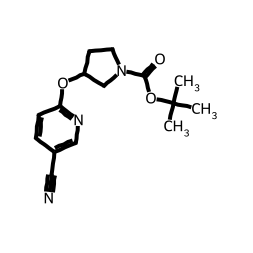 CC(C)(C)OC(=O)N1CCC(Oc2ccc(C#N)cn2)C1